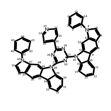 c1ccc(-n2ccc3cc4c5ccccc5n(-c5nc(-c6ccncc6)nc(-n6c7ccccc7c7cc8ccn(-c9ccccc9)c8cc76)n5)c4cc32)cc1